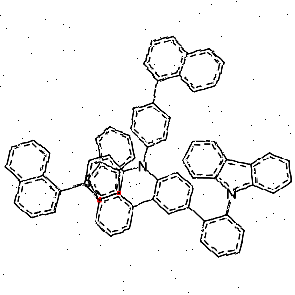 c1ccc(-n2c3ccccc3c3ccccc32)c(-c2ccc(N(c3ccc(-c4cccc5ccccc45)cc3)c3ccc(-c4cccc5ccccc45)cc3)c(-c3cccc4sc5ccccc5c34)c2)c1